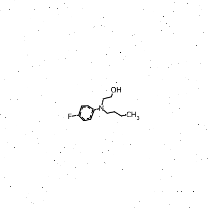 CCCCN(CCO)c1ccc(F)cc1